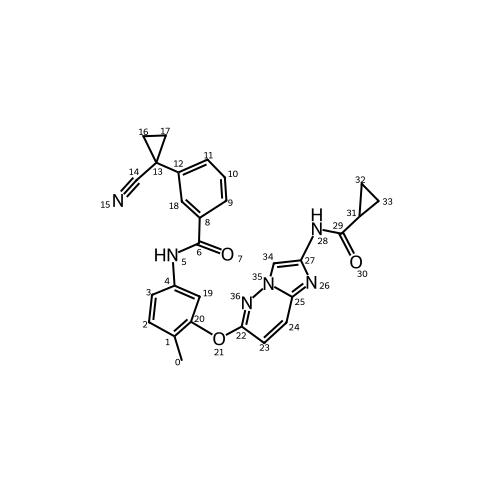 Cc1ccc(NC(=O)c2cccc(C3(C#N)CC3)c2)cc1Oc1ccc2nc(NC(=O)C3CC3)cn2n1